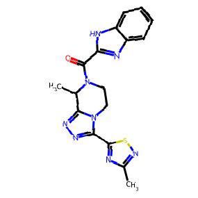 Cc1nsc(-c2nnc3n2CCN(C(=O)c2nc4ccccc4[nH]2)C3C)n1